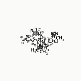 Cc1ncnn1-c1cc([C@@H](COC(=O)NC2(C(F)F)CC2)N2C(=N)N[C@](CC(C)(C)C)(c3ccc(-c4cnn(C(F)F)c4)cc3)C2=O)ccc1Cl